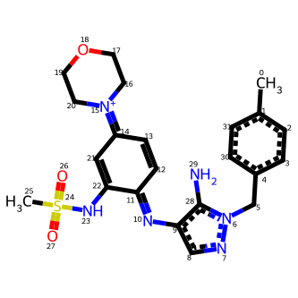 Cc1ccc(Cn2ncc(N=C3C=CC(=[N+]4CCOCC4)C=C3NS(C)(=O)=O)c2N)cc1